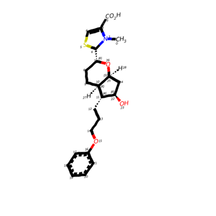 CN1C(C(=O)O)=CSC1[C@H]1CC[C@@H]2[C@@H](CCCOc3ccccc3)[C@H](O)C[C@@H]2O1